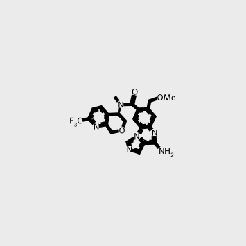 COCc1cc2nc(N)c3cncn3c2cc1C(=O)N(C)[C@H]1COCc2nc(C(F)(F)F)ccc21